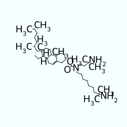 CC(C)CCC[C@@H](C)[C@H]1CC[C@H]2[C@@H]3CC=C4C[C@@H](OC(=O)N(CCCCCCCC(C)(C)N)CCC(C)(C)N)CC[C@]4(C)C3CC[C@]12C